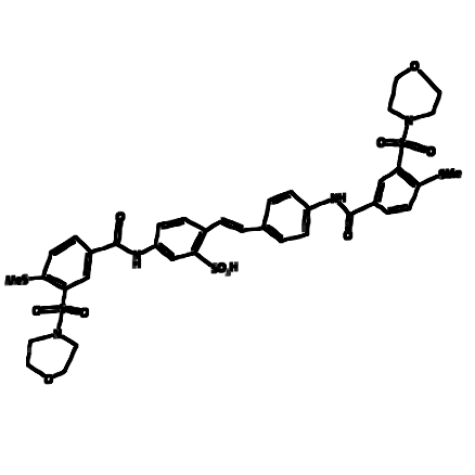 CSc1ccc(C(=O)Nc2ccc(C=Cc3ccc(NC(=O)c4ccc(SC)c(S(=O)(=O)N5CCOCC5)c4)cc3S(=O)(=O)O)cc2)cc1S(=O)(=O)N1CCOCC1